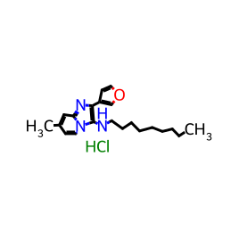 CCCCCCCCCNc1c(-c2ccoc2)nc2cc(C)ccn12.Cl